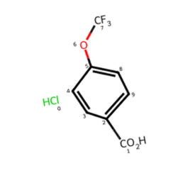 Cl.O=C(O)c1ccc(OC(F)(F)F)cc1